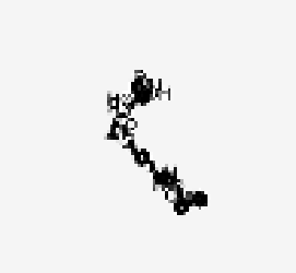 O=C(Nc1ccccc1-c1ccccc1)O[C@H]1C[C@@H]2CN(CCc3ccc(CCOCCC(=O)N(CCNC[C@H](O)c4ccc(O)c5[nH]c(=O)ccc45)CC4CC4)cc3)C[C@@H]2C1